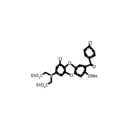 CCOC(=O)CN(CC(=O)OCC)c1cc(Cl)c(Oc2ccc(OC)c(C(=O)c3ccc(Cl)cc3)c2)c(Cl)c1